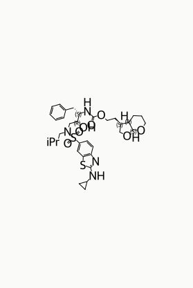 CC(C)CN(C[C@@H](O)[C@H](Cc1ccccc1)NC(=O)OCC[C@@H]1CO[C@@H]2OCCC[C@H]12)S(=O)(=O)c1ccc2nc(NC3CC3)sc2c1